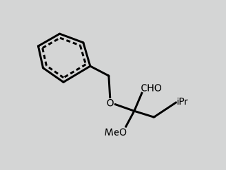 COC(C=O)(CC(C)C)OCc1ccccc1